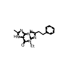 CCn1c(=O)c2[nH]c(C)nc2n2nc(CCc3ccccc3)nc12